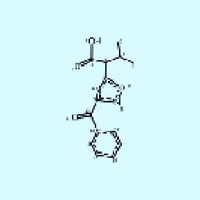 CC(C)C(C(=O)O)c1nc(C(=O)c2ccccc2)no1